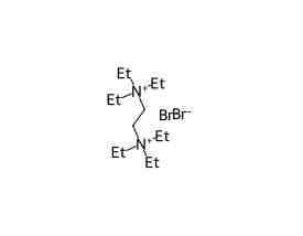 CC[N+](CC)(CC)CC[N+](CC)(CC)CC.[Br-].[Br-]